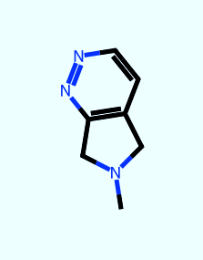 CN1Cc2ccnnc2C1